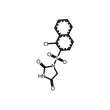 O=C1CN(S(=O)(=O)c2ccc3ccccc3c2Cl)C(=O)N1